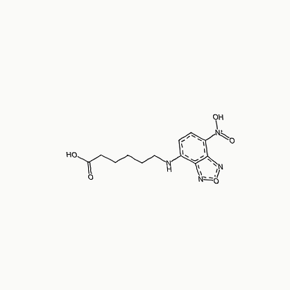 O=C(O)CCCCCNc1ccc([N+](=O)O)c2nonc12